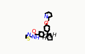 O=C(Nc1nccs1)c1ccc([C@]2(c3ccc(OCc4ccccn4)cc3)C[C@@H]3CC[C@H]2C3)cc1